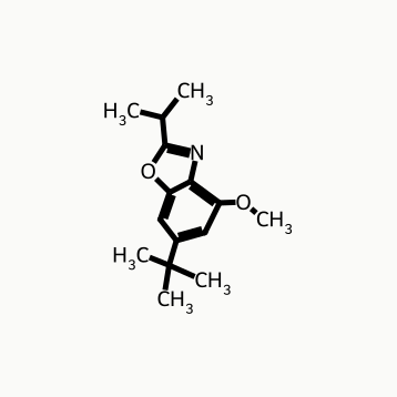 COc1cc(C(C)(C)C)cc2oc(C(C)C)nc12